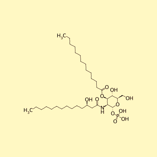 CCCCCCCCCCCCCC(=O)O[C@H]1[C@H](O)[C@@H](CO)O[C@H](OP(=O)(O)O)[C@H]1NC(=O)C[C@H](O)CCCCCCCCCCC